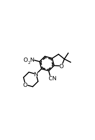 CC1(C)Cc2cc([N+](=O)[O-])c(N3CCOCC3)c(C#N)c2O1